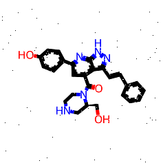 O=C(c1cc(-c2ccc(O)cc2)nc2[nH]nc(C=Cc3ccccc3)c12)N1CCNC[C@@H]1CO